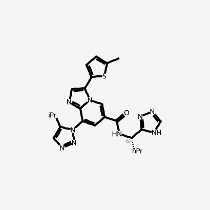 CCC[C@H](NC(=O)c1cc(-n2nncc2C(C)C)c2ncc(-c3ccc(C)s3)n2c1)c1nnc[nH]1